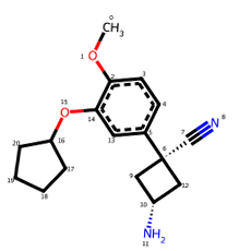 COc1ccc([C@]2(C#N)C[C@@H](N)C2)cc1OC1CCCC1